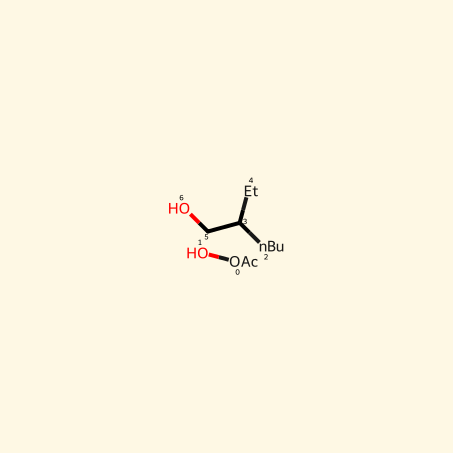 CC(=O)OO.CCCCC(CC)CO